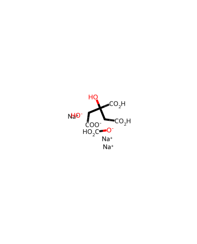 O=C([O-])CC(O)(CC(=O)O)C(=O)O.O=C([O-])O.[Na+].[Na+].[Na+].[OH-]